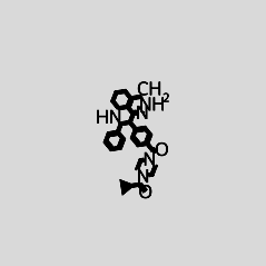 C=C1NN=C2C3=C1CCCC3NC(c1ccccc1)C2c1ccc(C(=O)N2CCN(C(=O)C3CC3)CC2)cc1